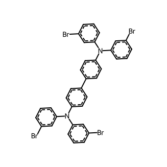 Brc1cccc(N(c2ccc(-c3ccc(N(c4cccc(Br)c4)c4cccc(Br)c4)cc3)cc2)c2cccc(Br)c2)c1